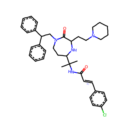 CC(C)(NC(=O)/C=C/c1ccc(Cl)cc1)C1CCN(CC(c2ccccc2)c2ccccc2)C(=O)C(CCN2CCCCC2)N1